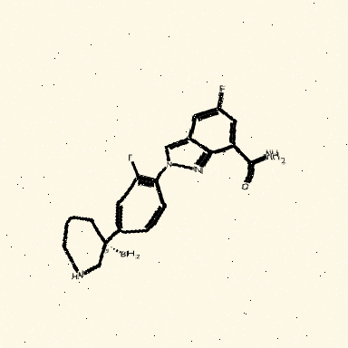 B[C@@]1(c2ccc(-n3cc4cc(F)cc(C(N)=O)c4n3)c(F)c2)CCCNC1